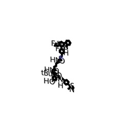 Cc1ncsc1-c1ccc(CNC(=O)[C@@H]2C[C@@H](O)CN2C(=O)[C@@H](NC(=O)CCCCNC(=O)/C=C/c2cc(F)c([C@@H]3c4[nH]c5ccccc5c4C[C@@H](C)N3CC(C)(C)F)c(F)c2)C(C)(C)C)cc1